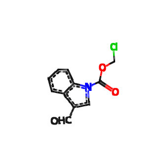 O=Cc1cn(C(=O)OCCl)c2ccccc12